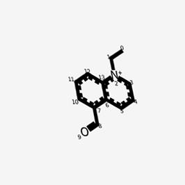 CC[n+]1cccc2c(C=O)cccc21